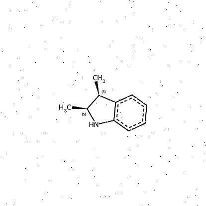 C[C@@H]1Nc2ccccc2[C@@H]1C